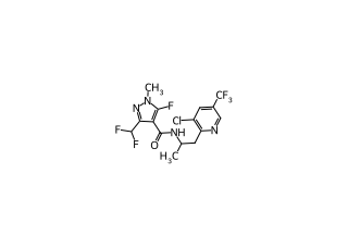 CC(Cc1ncc(C(F)(F)F)cc1Cl)NC(=O)c1c(C(F)F)nn(C)c1F